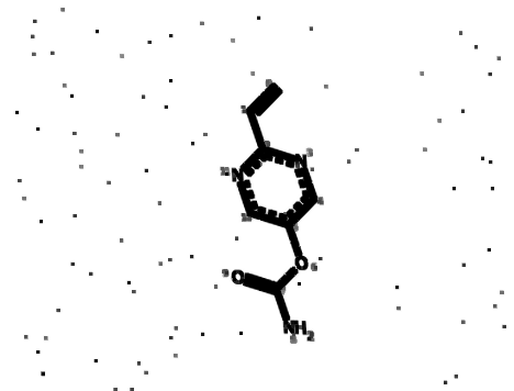 C=Cc1ncc(OC(N)=O)cn1